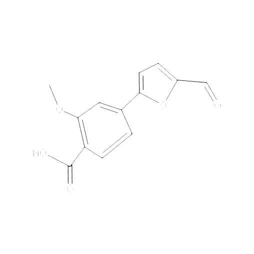 COc1cc(-c2ccc(C=O)o2)ccc1C(=O)O